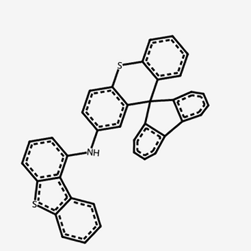 c1ccc2c(c1)Sc1ccc(Nc3cccc4sc5ccccc5c34)cc1C21c2ccccc2-c2ccccc21